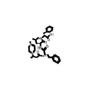 CC(C)C[C@H](NC(=O)[C@H](CCc1ccccc1)NC(=O)CC(C)N1CCN(C)CC1)C(=O)N[C@@H](Cc1ccccc1)C(=O)O